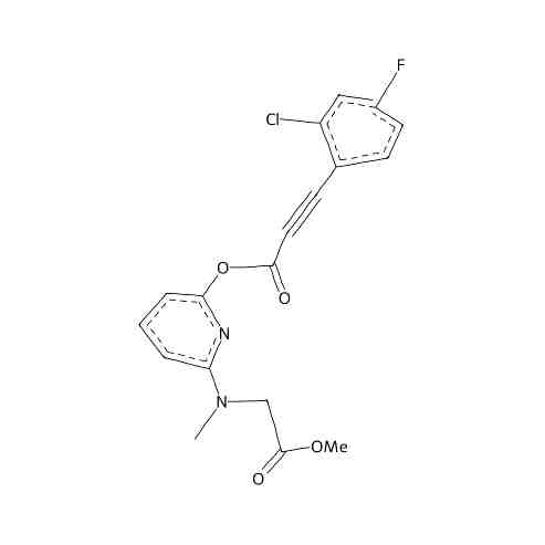 COC(=O)CN(C)c1cccc(OC(=O)C#Cc2ccc(F)cc2Cl)n1